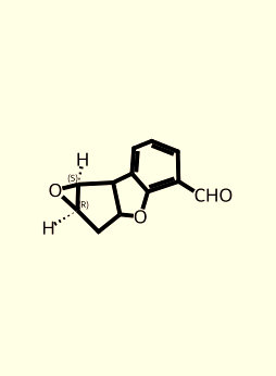 O=Cc1cccc2c1OC1C[C@H]3O[C@H]3C21